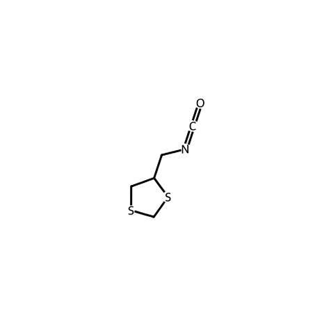 O=C=NCC1CSCS1